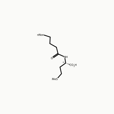 CCCCCCCCCCCCC(=O)N[C@@H](CCSC)C(=O)O